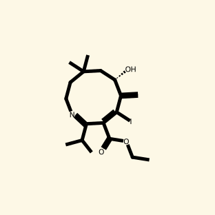 C=C1/C(I)=C(C(=O)OCC)\C(C(C)C)=N/CCC(C)(C)C[C@@H]1O